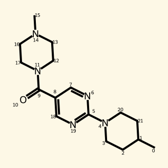 CC1CCN(c2ncc(C(=O)N3CCN(C)CC3)cn2)CC1